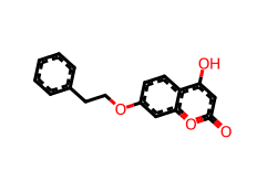 O=c1cc(O)c2ccc(OCCc3ccccc3)cc2o1